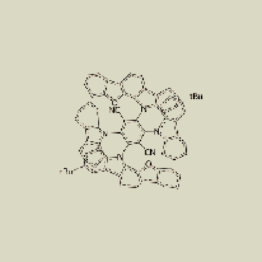 CC(C)(C)c1ccc2c(c1)c1ccc3c4ccccc4oc3c1n2-c1c(C#N)c(-n2c3ccccc3c3ccccc32)c(-n2c3ccc(C(C)(C)C)cc3c3ccc4c5ccccc5oc4c32)c(C#N)c1-n1c2ccccc2c2ccccc21